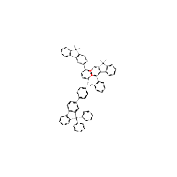 CC1(C)c2ccccc2-c2cc(-c3ccc(N(c4ccc(-c5ccc6c(c5)C(c5ccccc5)(c5ccccc5)c5ccccc5-6)cc4)c4ccccc4-c4cccc5c4-c4ccccc4C5(C)C)cc3)ccc21